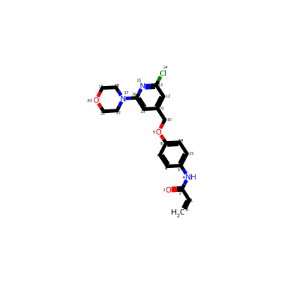 C=CC(=O)Nc1ccc(OCc2cc(Cl)nc(N3CCOCC3)c2)cc1